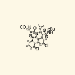 CC(C)(C)NS(=O)(=O)C[C@H](C1CC1)N1C(=O)[C@@H](CC(=O)O)O[C@H](c2cccc(Cl)c2)[C@H]1c1ccc(Cl)cc1